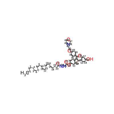 CC/C=C\C/C=C\C/C=C\C/C=C\C/C=C\C/C=C\CCC(=O)NCCC(=O)Oc1ccc2c(C(=O)c3ccc(OCCN4CCOCC4)cc3)c(-c3ccc(O)cc3)sc2c1